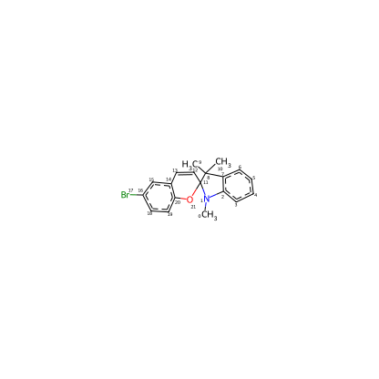 CN1c2ccccc2C(C)(C)C12C=Cc1cc(Br)ccc1O2